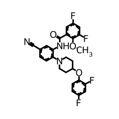 COc1c(F)cc(F)cc1C(=O)Nc1cc(C#N)ccc1N1CCC(Oc2ccc(F)cc2F)CC1